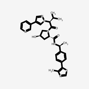 Cc1ncsc1-c1ccc([C@H](C)NC(=O)[C@@H]2C[C@@H](O)CN2C(=O)[C@H](C(C)C)n2cc(-c3cccnc3)cn2)cc1